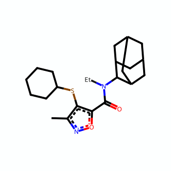 CCN(C(=O)c1onc(C)c1SC1CCCCC1)C1C2CC3CC(C2)CC1C3